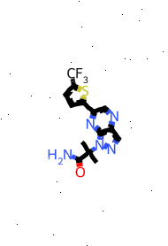 CC(C)(C(N)=O)n1ncc2ncc(-c3ccc(C(F)(F)F)s3)nc21